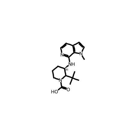 Cn1ccc2ccnc(N[C@@H]3CCCN(C(=O)O)C3C(C)(C)C)c21